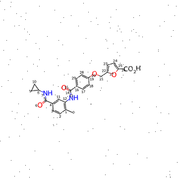 Cc1ccc(C(=O)NC2CC2)cc1NC(=O)c1ccc(OCc2ccc(C(=O)O)o2)cc1